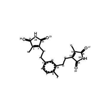 CC1=C(CCc2ccc(C)c(CCC3=C(C)C(=O)NC3=O)c2)C(=O)NC1=O